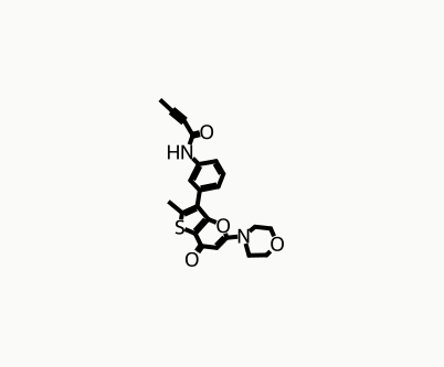 CC#CC(=O)Nc1cccc(-c2c(C)sc3c(=O)cc(N4CCOCC4)oc23)c1